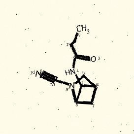 CCC(=O)NC1C2CC1N(C#N)C2